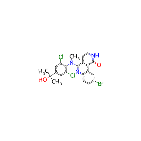 CN(c1c(Cl)cc(C(C)(C)O)cc1Cl)c1nc2ccc(Br)cc2c2c(=O)[nH]ccc12